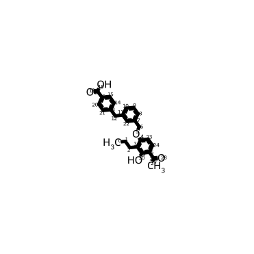 CCCc1c(OCc2cccc(Cc3ccc(C(=O)O)cc3)c2)ccc(C(C)=O)c1O